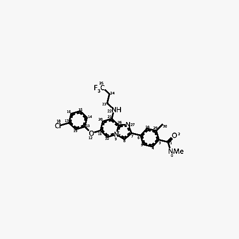 CNC(=O)c1ccc(-c2cn3cc(Oc4cccc(Cl)c4)cc(NCCC(F)(F)F)c3n2)cc1C